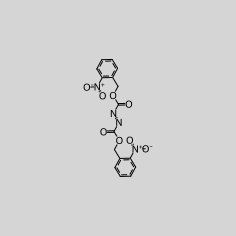 O=C(/N=N/C(=O)OCc1ccccc1[N+](=O)[O-])OCc1ccccc1[N+](=O)[O-]